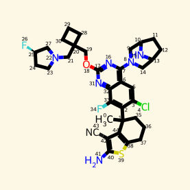 CC1(c2c(Cl)cc3c(N4CC5CCC(C4)N5)nc(OCC4(CN5CC[C@@H](F)C5)CCC4)nc3c2F)CCCc2sc(N)c(C#N)c21